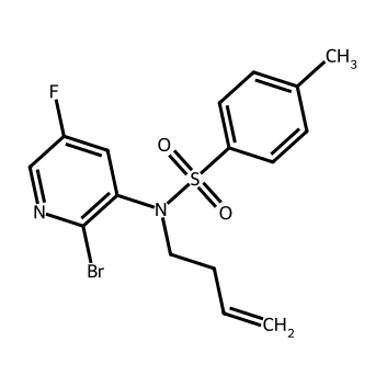 C=CCCN(c1cc(F)cnc1Br)S(=O)(=O)c1ccc(C)cc1